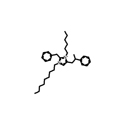 CCCCCCCCCn1cc(CC(C)c2ccccc2)[n+](CCCCCC)c1Cc1ccccc1